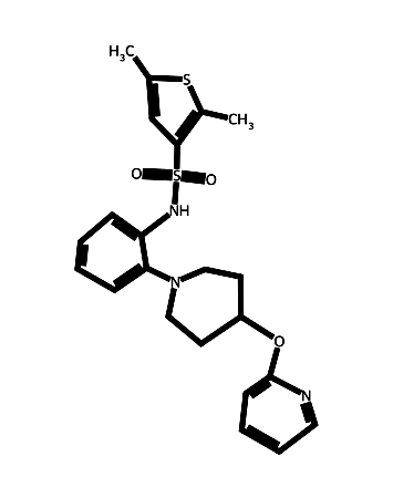 Cc1cc(S(=O)(=O)Nc2ccccc2N2CCC(Oc3ccccn3)CC2)c(C)s1